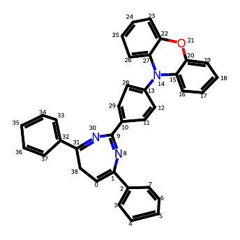 C1=C(c2ccccc2)N=C(c2ccc(N3c4ccccc4Oc4ccccc43)cc2)N=C(c2ccccc2)C1